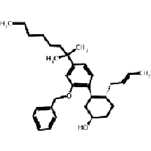 CC=CC[C@@H]1CC[C@@H](O)C[C@H]1c1ccc(C(C)(C)CCCCCC)cc1OCc1ccccc1